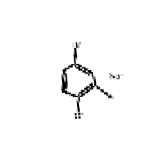 [Na+].[O-]c1ccc(Br)cc1Br